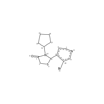 O=C1CSC(c2ccncc2Br)N1C1CCCC1